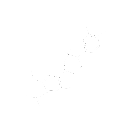 COc1cc(N2CCC(c3ccc(Cl)c(C)c3)C(F)(F)C2)c(F)cc1[N+](=O)[O-]